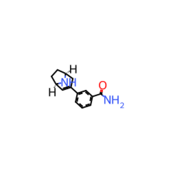 NC(=O)c1cccc(C2=C[C@H]3CC[C@@H](C2)N3)c1